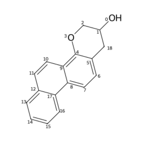 OC1COc2c(ccc3c2ccc2ccccc23)C1